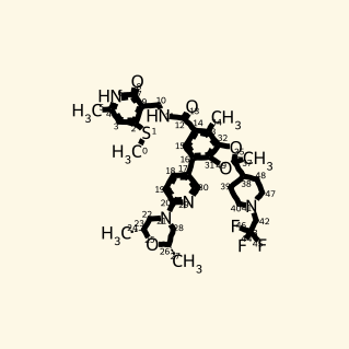 CSc1cc(C)[nH]c(=O)c1CNC(=O)c1cc(-c2ccc(N3C[C@@H](C)O[C@@H](C)C3)nc2)c2c(c1C)OC(C)(C1CCN(CC(F)(F)F)CC1)O2